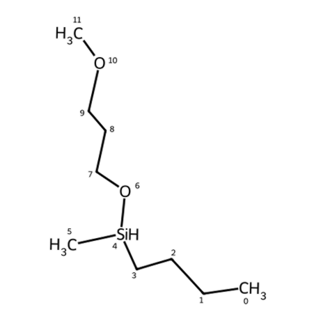 CCCC[SiH](C)OCCCOC